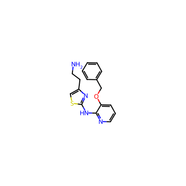 NCCc1csc(Nc2ncccc2OCc2ccccc2)n1